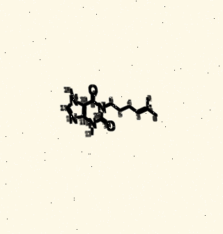 CC(C)=CCCCn1c(=O)c2c(ncn2C)n(C)c1=O